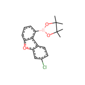 CC1(C)OB(c2cccc3oc4cc(Cl)ccc4c23)OC1(C)C